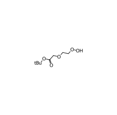 CC(C)(C)OC(=O)COCCOO